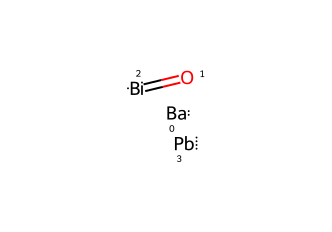 [Ba].[O]=[Bi].[Pb]